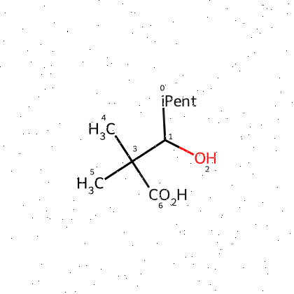 CCCC(C)C(O)C(C)(C)C(=O)O